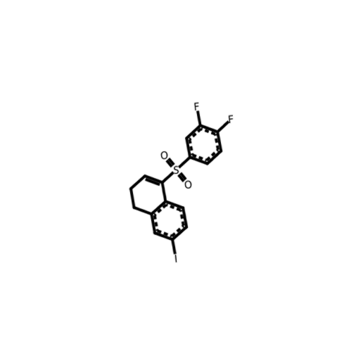 O=S(=O)(C1=CCCc2cc(I)ccc21)c1ccc(F)c(F)c1